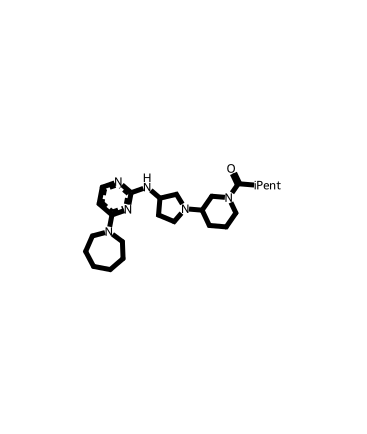 CCCC(C)C(=O)N1CCCC(N2CCC(Nc3nccc(N4CCCCCC4)n3)C2)C1